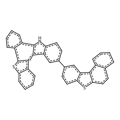 c1ccc2c(c1)ccc1sc3ccc(-c4ccc5[nH]c6c7ccccc7c7sc8ccccc8c7c6c5c4)cc3c12